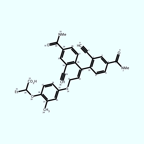 C#Cc1cc(C(=O)NC)ccc1C(=CCSc1ccc(OC(CC)C(=O)O)c(C)c1)c1ccc(C(=O)NC)cc1C#C